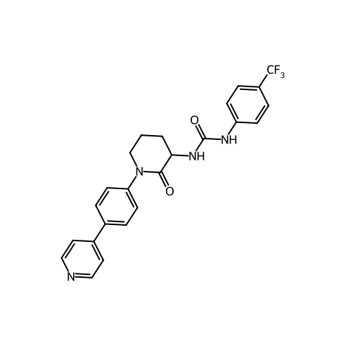 O=C(Nc1ccc(C(F)(F)F)cc1)NC1CCCN(c2ccc(-c3ccncc3)cc2)C1=O